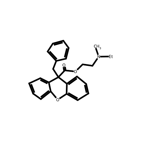 CCN(C)CCOC(=O)C1(Cc2ccccc2)c2ccccc2Oc2ccccc21